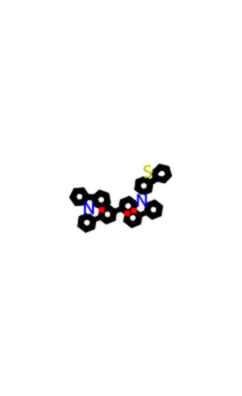 c1ccc(-c2ccccc2N(c2ccc(-c3ccc(-c4ccccc4-n4c5ccccc5c5ccccc54)cc3)cc2)c2ccc3sc4ccccc4c3c2)cc1